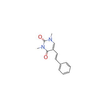 Cn1cc(C=Cc2ccccc2)c(=O)n(C)c1=O